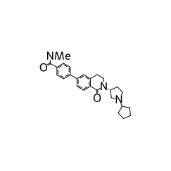 CNC(=O)c1ccc(-c2ccc3c(c2)CCN([C@@H]2CCN(C4CCCC4)C2)C3=O)cc1